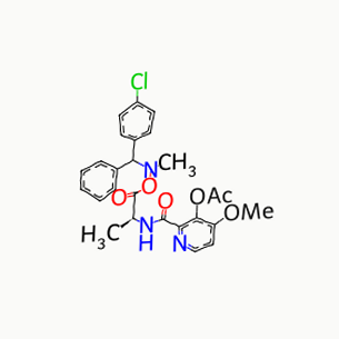 COc1ccnc(C(=O)N[C@@H](C)C(=O)ON(C)C(c2ccccc2)c2ccc(Cl)cc2)c1OC(C)=O